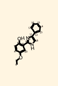 CCOc1ccc(O)c(-c2nc(-c3ccccc3)c[nH]2)c1